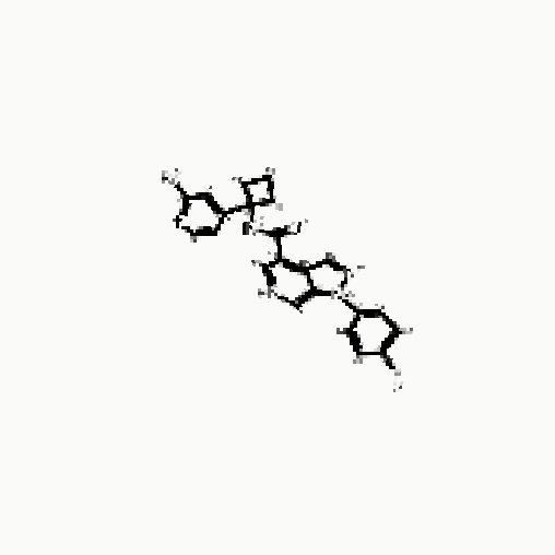 O=C(NC1(c2ccnc(Br)c2)CCC1)c1cncc2c1cnn2-c1ccc(F)cc1